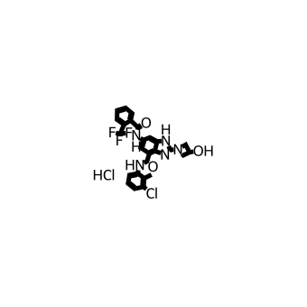 Cc1c(Cl)cccc1NC(=O)c1cc(NC(=O)c2ccccc2C(F)(F)F)cc2[nH]c(N3CC(O)C3)nc12.Cl